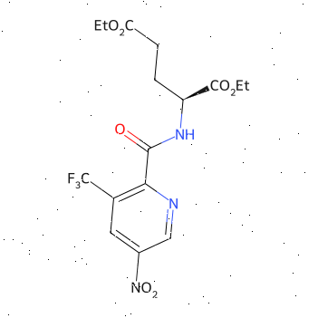 CCOC(=O)CC[C@H](NC(=O)c1ncc([N+](=O)[O-])cc1C(F)(F)F)C(=O)OCC